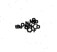 CN1/C(=N/C(=O)OC(C)(C)C)NC2(c3ccccc3F)CCOCC2S1(=O)=O